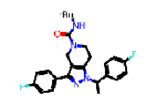 CC(c1ccc(F)cc1)n1nc(-c2ccc(F)cc2)c2c1CCN(C(=O)NC(C)(C)C)C2